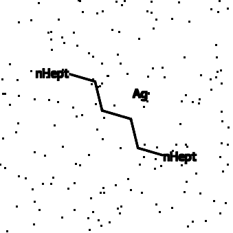 CCCCCCCCCCCCCCCCCC.[Ag]